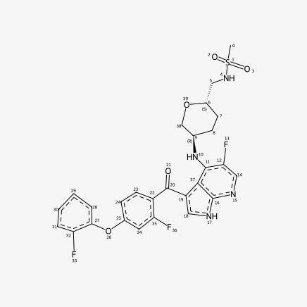 CS(=O)(=O)NC[C@@H]1CC[C@@H](Nc2c(F)cnc3[nH]cc(C(=O)c4ccc(Oc5ccccc5F)cc4F)c23)CO1